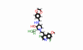 COc1cc(F)c2ncc(F)c(CCN3CC[C@@H](NCc4ccc5c(c4)OCCO5)[C@@H](O)C3)c2c1.Cl.Cl